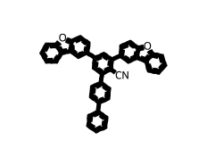 N#Cc1c(-c2ccc(-c3ccccc3)cc2)cc(-c2ccc3oc4ccccc4c3c2)cc1-c1ccc2oc3ccccc3c2c1